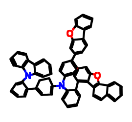 c1ccc2c3ccccc3n(-c3ccccc3C3=CC=C(N(c4ccc(-c5ccc6c(c5)oc5ccccc56)cc4)c4ccccc4-c4cccc5oc6c7ccccc7ccc6c45)CC3)c2c#1